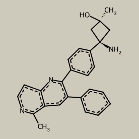 Cc1nccc2nc(-c3ccc([C@]4(N)C[C@@](C)(O)C4)cc3)c(-c3ccccc3)cc12